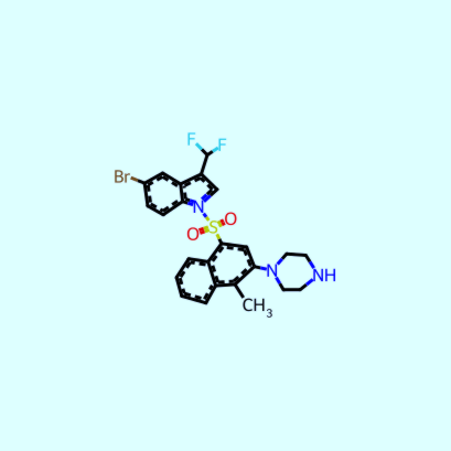 Cc1c(N2CCNCC2)cc(S(=O)(=O)n2cc(C(F)F)c3cc(Br)ccc32)c2ccccc12